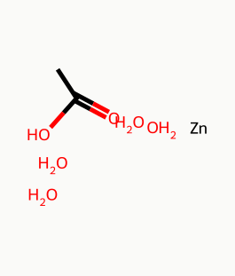 CC(=O)O.O.O.O.O.[Zn]